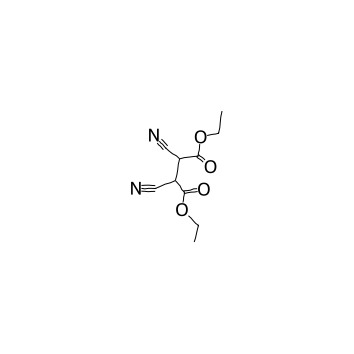 CCOC(=O)C(C#N)C(C#N)C(=O)OCC